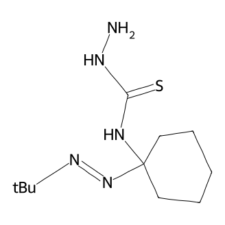 CC(C)(C)N=NC1(NC(=S)NN)CCCCC1